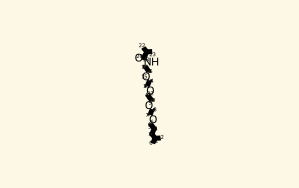 CC(C)CCCOCCOCCOCCOCCNC(=O)C(C)C